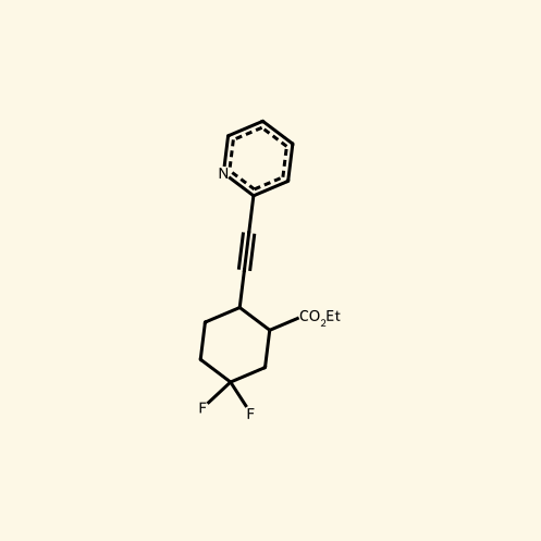 CCOC(=O)C1CC(F)(F)CCC1C#Cc1ccccn1